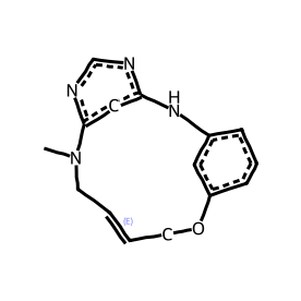 CN1C/C=C/COc2cccc(c2)Nc2cc1ncn2